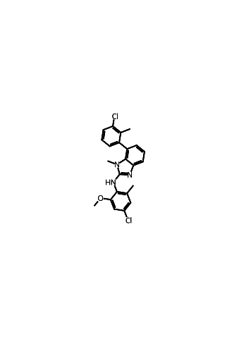 COc1cc(Cl)cc(C)c1Nc1nc2cccc(-c3cccc(Cl)c3C)c2n1C